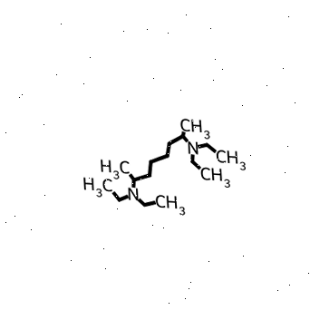 CCN(CC)C(C)CCCCC(C)N(CC)CC